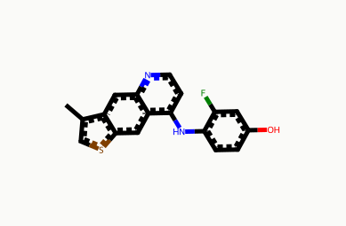 Cc1csc2cc3c(Nc4ccc(O)cc4F)ccnc3cc12